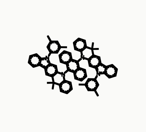 Cc1cc(C)cc(-n2c3ccccc3c3cc4c(cc32)N(c2c3ccccc3c(N3c5ccccc5C(C)(C)c5cc6c7ccccc7n(-c7cc(C)cc(C)c7)c6cc53)c3ccccc23)c2ccccc2C4(C)C)c1